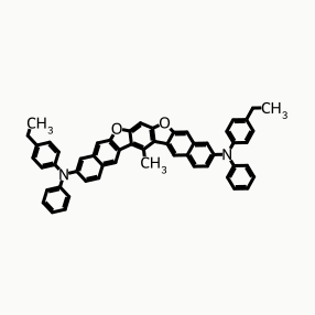 CCc1ccc(N(c2ccccc2)c2ccc3cc4c(cc3c2)oc2cc3oc5cc6cc(N(c7ccccc7)c7ccc(CC)cc7)ccc6cc5c3c(C)c24)cc1